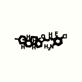 C[C@H]1CC[C@@]2(C)[C@@H](CC[C@@H]3[C@@H]2CC[C@]2(C)[C@@H](C(=O)CNc4c(N)ccc(Cl)c4F)CC[C@@H]32)C1